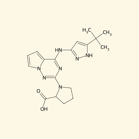 CC(C)(C)c1cc(Nc2nc(N3CCCC3C(=O)O)nn3cccc23)n[nH]1